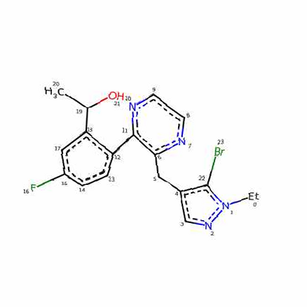 CCn1ncc(Cc2nccnc2-c2ccc(F)cc2C(C)O)c1Br